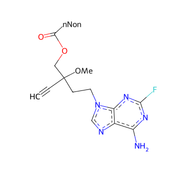 C#CC(CCn1cnc2c(N)nc(F)nc21)(COC(=O)CCCCCCCCC)OC